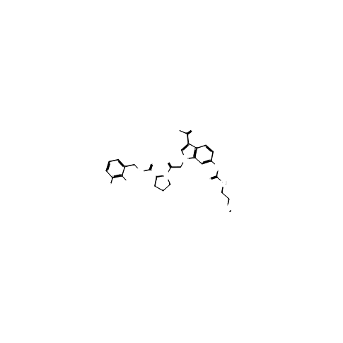 CC(=O)c1cn(CC(=O)N2CCC[C@H]2C(=O)NCc2cccc(Cl)c2F)c2cc(OC(=O)NCCP=O)ccc12